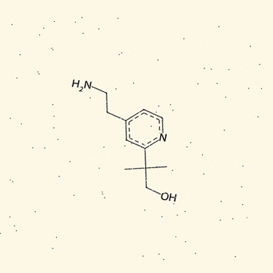 CC(C)(CO)c1cc(CCN)ccn1